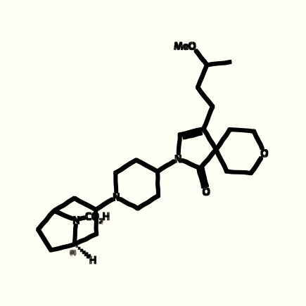 COC(C)CCC1=CN(C2CCN(C3CC4CC[C@H](C3)N4C(=O)O)CC2)C(=O)C12CCOCC2